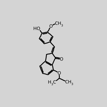 COc1cc(/C=C2\Cc3cccc(OC(C)C)c3C2=O)ccc1O